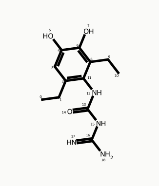 CCc1cc(O)c(O)c(CC)c1NC(=O)NC(=N)N